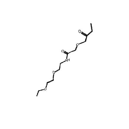 CCOCCOCCNC(=O)COCC(=O)CC